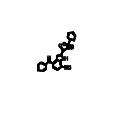 O=Nc1ccc(Nc2ccccc2)c2cc(C(=O)NS(=O)(=O)c3ccccc3)[nH]c12